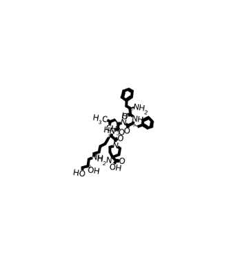 CC(C)C[C@@H](NC(=O)[C@@H](Cc1ccccc1)NC(=O)[C@H](N)Cc1ccccc1)C(=O)N[C@H](CCCCCNC[C@@H](O)CO)C(=O)N1CCC(N)(C(=O)O)CC1